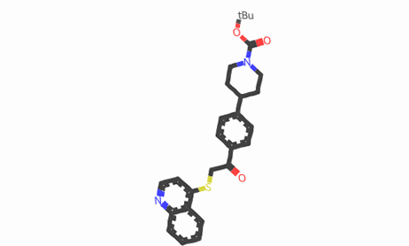 CC(C)(C)OC(=O)N1CCC(c2ccc(C(=O)CSc3ccnc4ccccc34)cc2)CC1